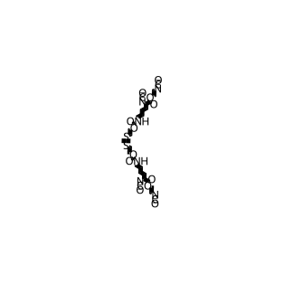 CC(C)(SCCOC(=O)NCCCCC(N=C=O)C(=O)OCCN=C=O)SCCOC(=O)NCCCCC(N=C=O)C(=O)OCCN=C=O